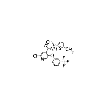 Cc1ccc([C@@H]2CON=C(c3cc(Cl)ncc3Oc3cccc(C(F)(F)F)c3)N2)s1